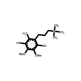 COc1c(O)c(C)c(CCC[Si](C)(C)C)c(O)c1OC